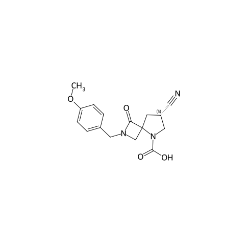 COc1ccc(CN2CC3(C[C@H](C#N)CN3C(=O)O)C2=O)cc1